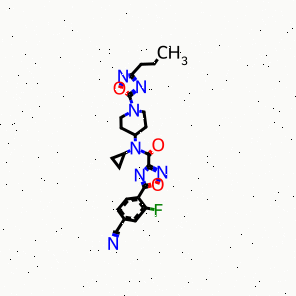 CCCc1noc(N2CCC(N(C(=O)c3noc(-c4ccc(C#N)cc4F)n3)C3CC3)CC2)n1